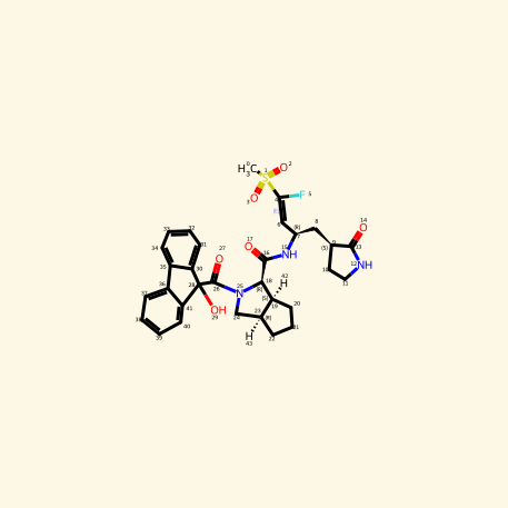 CS(=O)(=O)/C(F)=C/[C@@H](C[C@@H]1CCNC1=O)NC(=O)[C@H]1[C@H]2CCC[C@H]2CN1C(=O)C1(O)c2ccccc2-c2ccccc21